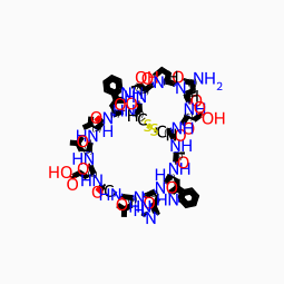 CC(C)C[C@@H]1NC(=O)[C@H](Cc2cnc[nH]2)NC(=O)[C@H](Cc2c[nH]c3ccccc23)NC(=O)[C@H](C)NC(=O)[C@@H]2CSSC[C@H](NC(=O)[C@H](Cc3c[nH]c4ccccc34)NC(=O)[C@H](C(C)C)NC(=O)[C@H](CC(C)C)NC(=O)[C@H](CCC(=O)O)NC(=O)CNC1=O)C(=O)N[C@@H]([C@@H](C)O)C(=O)N1CCC[C@@H]1C(=O)N1C[C@H](N)C[C@H]1C(=O)N[C@@H](CC(=O)O)C(=O)N2